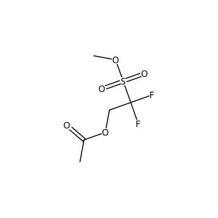 COS(=O)(=O)C(F)(F)COC(C)=O